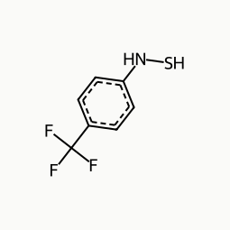 FC(F)(F)c1ccc(NS)cc1